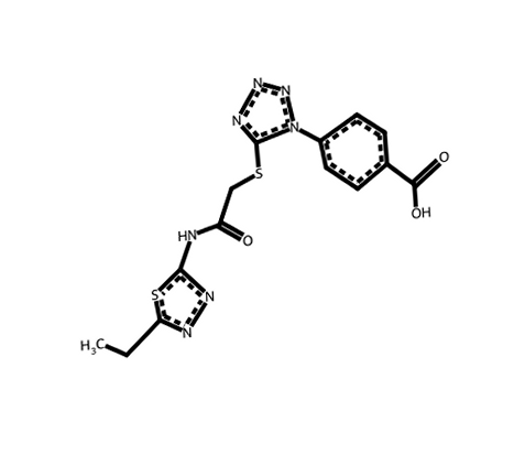 CCc1nnc(NC(=O)CSc2nnnn2-c2ccc(C(=O)O)cc2)s1